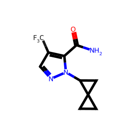 NC(=O)c1c(C(F)(F)F)cnn1C1CC12CC2